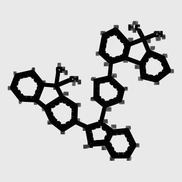 CC1(C)c2ccccc2-c2ccc(-c3nc4ccccc4n3-c3ccc(-c4cccc5c4-c4ccccc4C5(C)C)cc3)cc21